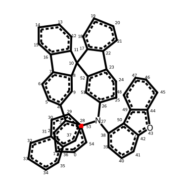 c1ccc(-c2ccc3c(c2)C2(c4ccccc4-3)c3ccccc3-c3ccc(N(c4ccc5ccccc5c4)c4cccc5oc6ccccc6c45)cc32)cc1